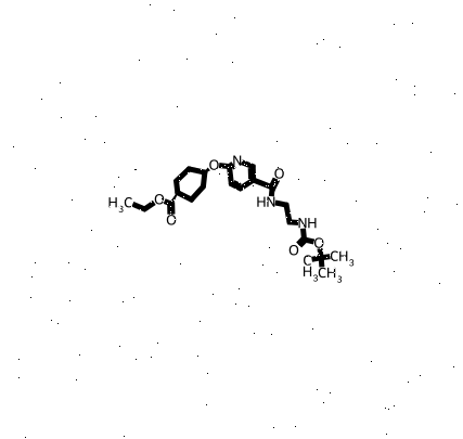 CCOC(=O)[C@H]1CC[C@@H](Oc2ccc(C(=O)NCCNC(=O)OC(C)(C)C)cn2)CC1